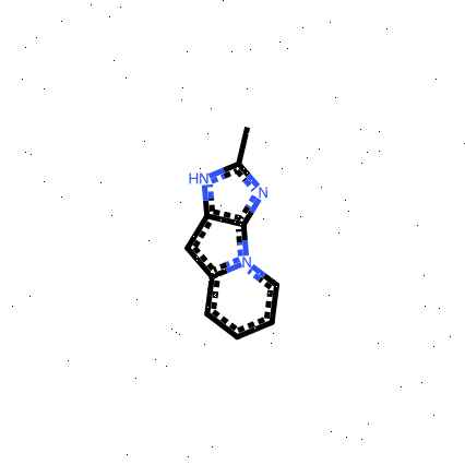 Cc1nc2c(cc3ccccn32)[nH]1